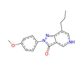 CCCc1c[nH]cc2c(=O)n(-c3ccc(OC)cc3)nc1-2